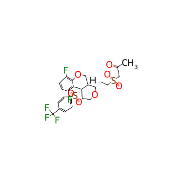 CC(=O)CS(=O)(=O)CC[C@@H]1OCC[C@@]2(S(=O)(=O)c3ccc(C(F)(F)F)cc3)c3c(F)ccc(F)c3OC[C@@H]12